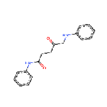 O=C(CCC(=O)Nc1ccccc1)CNc1ccccc1